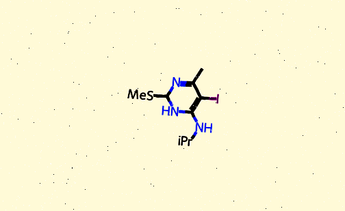 CSC1N=C(C)C(I)=C(NC(C)C)N1